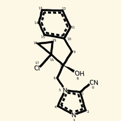 N#Cc1cncn1C[C@@](O)(Cc1ccccc1)C1(Cl)CC1